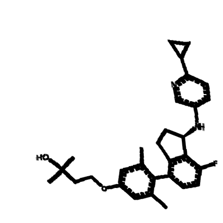 Cc1cc(OCCC(C)(C)O)cc(C)c1-c1ccc(F)c2c1CC[C@H]2Nc1ccc(C2CC2)nc1